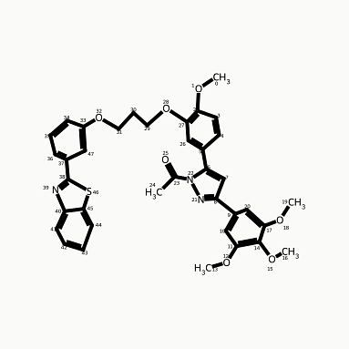 COc1ccc(-c2cc(-c3cc(OC)c(OC)c(OC)c3)nn2C(C)=O)cc1OCCCOc1cccc(-c2nc3ccccc3s2)c1